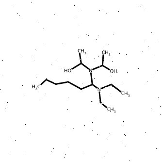 CCCCCC(N(CC)CC)N(C(C)O)C(C)O